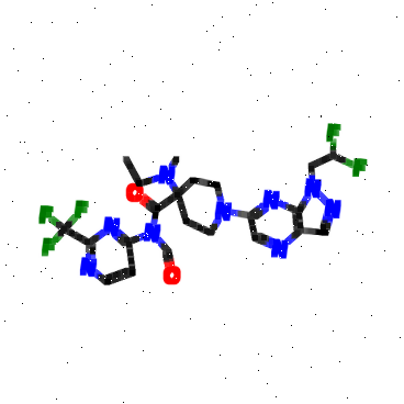 CCN(C)C1(C(=O)N(C=O)c2ccnc(C(F)(F)F)n2)CCN(c2cnc3cnn(CC(F)F)c3n2)CC1